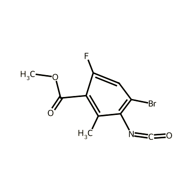 COC(=O)c1c(F)cc(Br)c(N=C=O)c1C